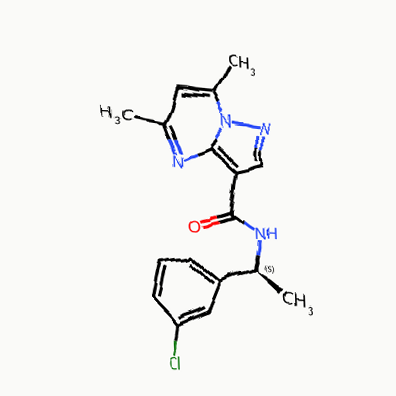 Cc1cc(C)n2ncc(C(=O)N[C@@H](C)c3cccc(Cl)c3)c2n1